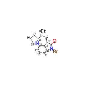 CCC1C=C2C(=O)N(Br)c3cccc(c32)N2CCCC12